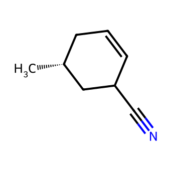 C[C@@H]1CC=CC(C#N)C1